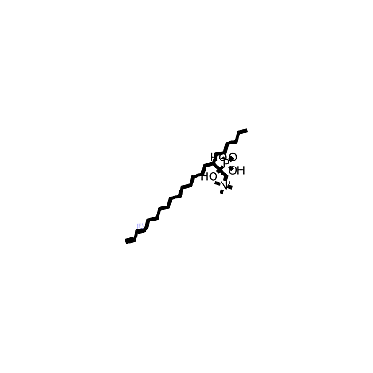 C=C/C=C/CCCCCCCCCCCC(CCCCCC)C(O)(C[N+](C)(C)C)P(=O)(O)O